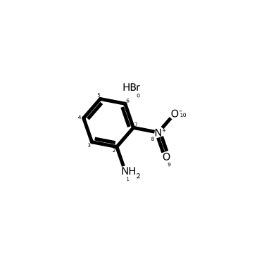 Br.Nc1ccccc1[N+](=O)[O-]